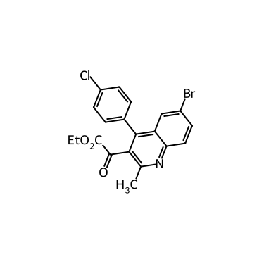 CCOC(=O)C(=O)c1c(C)nc2ccc(Br)cc2c1-c1ccc(Cl)cc1